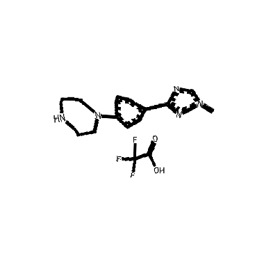 Cn1cnc(-c2ccc(N3CCNCC3)cc2)n1.O=C(O)C(F)(F)F